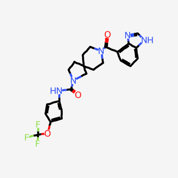 O=C(Nc1ccc(OC(F)(F)F)cc1)N1CCC2(CCN(C(=O)c3cccc4[nH]cnc34)CC2)C1